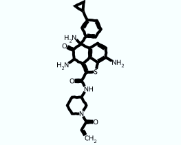 C=CC(=O)N1CCCC(NC(=O)c2sc3c(N)ccc4c3c2C(N)C(=O)C4(N)c2cccc(C3CC3)c2)C1